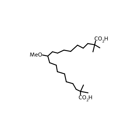 COC(CCCCCCCC(C)(C)C(=O)O)CCCCCCCC(C)(C)C(=O)O